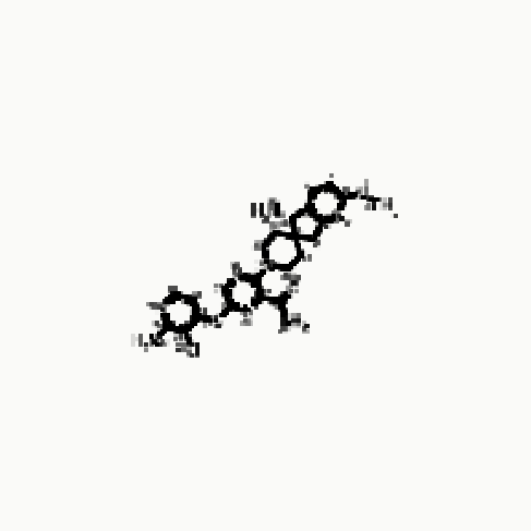 COc1ccc2c(n1)CC1(CCN(c3ncc(Sc4ccnc(N)c4Cl)nc3C(N)=O)CC1)[C@@H]2N